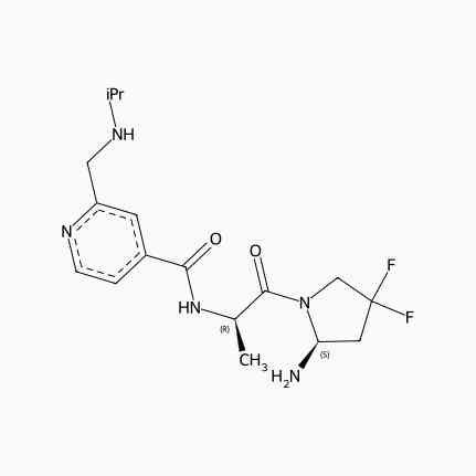 CC(C)NCc1cc(C(=O)N[C@H](C)C(=O)N2CC(F)(F)C[C@H]2N)ccn1